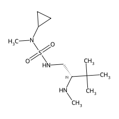 CN[C@H](CNS(=O)(=O)N(C)C1CC1)C(C)(C)C